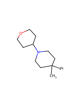 CC(C)C1(C)CCN(C2CCOCC2)CC1